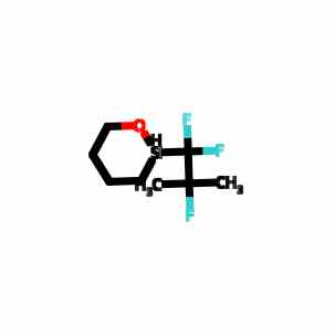 CC(C)(F)C(F)(F)[SiH]1CCCCO1